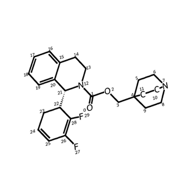 O=C(OCC12CCN(CC1)CC2)N1CCc2ccccc2[C@H]1C1CC=CC(F)=C1F